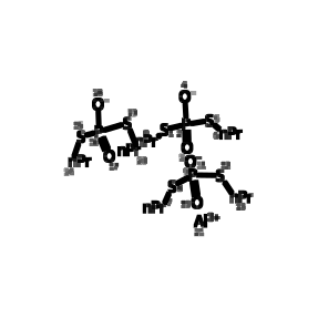 CCCSP(=O)([O-])SCCC.CCCSP(=O)([O-])SCCC.CCCSP(=O)([O-])SCCC.[Al+3]